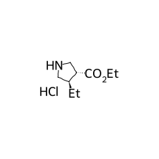 CCOC(=O)[C@H]1CNC[C@@H]1CC.Cl